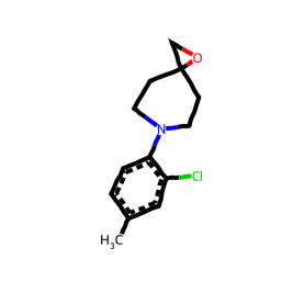 Cc1ccc(N2CCC3(CC2)CO3)c(Cl)c1